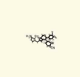 CCn1c(CN2CC[C@H](N)C2)cc2c(-c3ccc(C#N)c(F)c3)c(-c3ccc(C)c(C)c3)ncc21